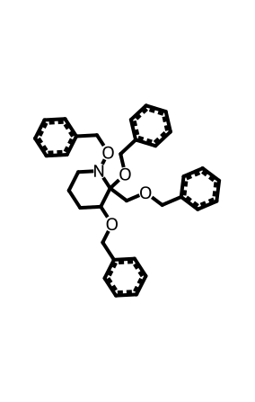 c1ccc(COCC2(OCc3ccccc3)C(OCc3ccccc3)CCCN2OCc2ccccc2)cc1